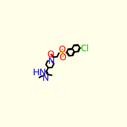 Cc1nc(C)c(C2CCN(C(=O)CCS(=O)(=O)c3ccc4cc(Cl)ccc4c3)CC2)[nH]1